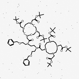 CC(C)(C)OC(=O)CN1CCN(CC(=O)OC(C)(C)C)CCN(CC(=O)N(CCOCc2ccccc2)CCN(CCOCc2ccccc2)C(=O)CN2CCN(CC(=O)OC(C)(C)C)CCN(CC(=O)OC(C)(C)C)CCN(CC(=O)OC(C)(C)C)CC2)CCN(CC(=O)OC(C)(C)C)CC1